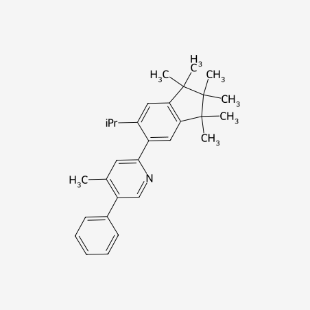 Cc1cc(-c2cc3c(cc2C(C)C)C(C)(C)C(C)(C)C3(C)C)ncc1-c1ccccc1